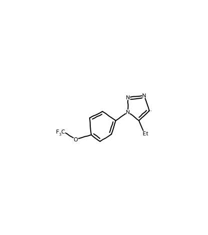 CCc1[c]nnn1-c1ccc(OC(F)(F)F)cc1